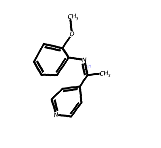 COc1ccccc1/N=C(/C)c1ccncc1